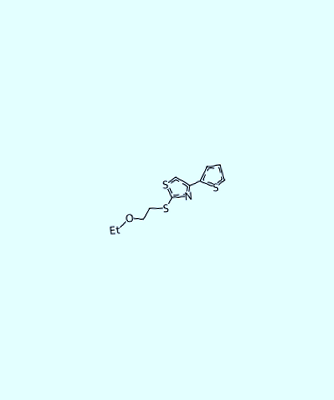 CCOCCSc1nc(-c2cccs2)cs1